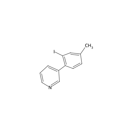 Cc1ccc(-c2cccnc2)c(I)c1